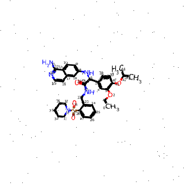 CCOc1cc([C@H](Nc2ccc3c(N)nccc3c2)C(=O)NCc2ccccc2S(=O)(=O)N2CCCCC2)ccc1OC(C)C